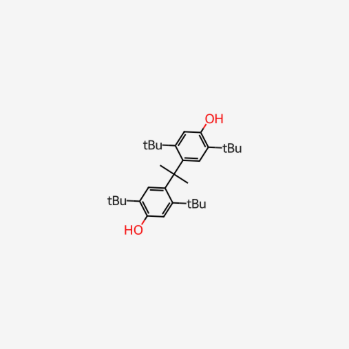 CC(C)(C)c1cc(C(C)(C)c2cc(C(C)(C)C)c(O)cc2C(C)(C)C)c(C(C)(C)C)cc1O